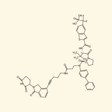 CC(C)(C)[C@H](NC(=O)c1cc2cc(C(F)(F)P(=O)(O)O)ccc2s1)C(=O)N1CCC[C@H]1C(=O)N(CCC(=O)NCCCC#Cc1cccc2c1CN(C1CCC(=O)NC1=O)C2=O)c1ccc(-c2ccccc2)cc1